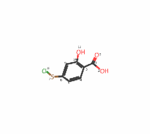 O=C(O)c1ccc(SCl)cc1O